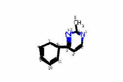 Cc1nc[c]c(-c2ccccc2)n1